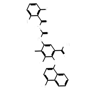 Cc1c(NC(=O)NC(=O)c2c(F)cccc2F)cc(C(=O)O)c(Oc2ccc(Cl)c3ccccc23)c1Cl